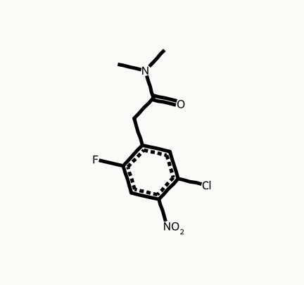 CN(C)C(=O)Cc1cc(Cl)c([N+](=O)[O-])cc1F